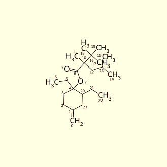 C=C1CCC(CC)(OC(=O)C(C)(CC(C)C)C(C)(C)C)C(CC)C1